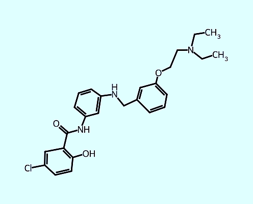 CCN(CC)CCOc1cccc(CNc2cccc(NC(=O)c3cc(Cl)ccc3O)c2)c1